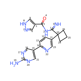 N=C(NC(=O)c1cn[nH]c1)C1(c2ccc(-c3cnc(N)nc3)nc2)CCC1